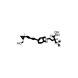 C[C@](CCn1cc2cc(C#CC#C[C@]3(C)C[C@H]3CO)ccc2n1)(C[SH](=O)=O)C(=O)NO